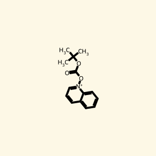 CC(C)(C)OC(=O)O[n+]1cccc2ccccc21